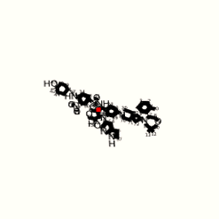 Cc1ccccc1[C@@H]1COCC(C)(C)CN1C1CC2(CCN(c3ccc(C(=O)NS(=O)(=O)c4ccc(NC[C@H]5CC[C@](C)(O)CC5)c([N+](=O)[O-])c4)c(N4c5cc6cc[nH]c6nc5O[C@H]5COCC[C@@H]54)c3)CC2)C1